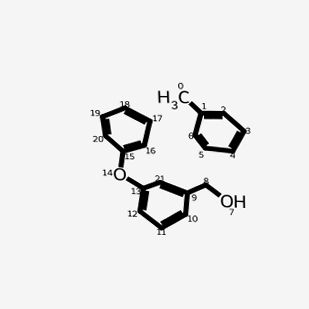 Cc1ccccc1.OCc1cccc(Oc2ccccc2)c1